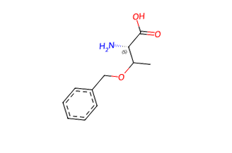 CC(OCc1ccccc1)[C@H](N)C(=O)O